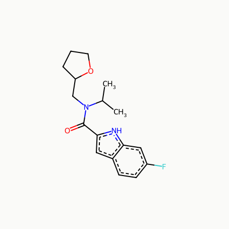 CC(C)N(CC1CCCO1)C(=O)c1cc2ccc(F)cc2[nH]1